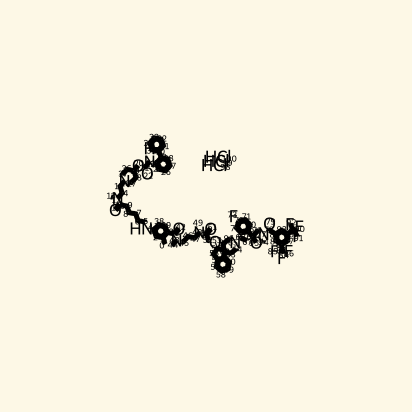 Cc1cc(NCCCCCC(=O)N(C)CCN2CCC(OC(=O)Nc3ccccc3-c3ccccc3)CC2)ccc1C(=O)N(C)CCCN(C)C(=O)CO[C@H]1Cc2ccccc2C12CCN(CC[C@]1(c3ccc(F)cc3)CN(C(=O)c3cc(C(F)(F)F)cc(C(F)(F)F)c3)CO1)CC2.Cl.Cl.Cl